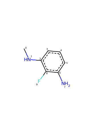 CNc1cccc(N)c1F